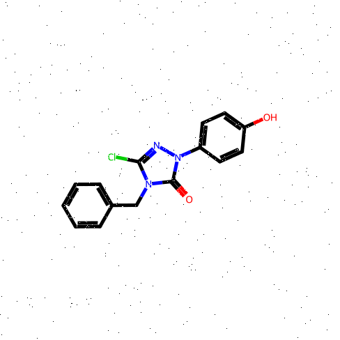 O=c1n(-c2ccc(O)cc2)nc(Cl)n1Cc1ccccc1